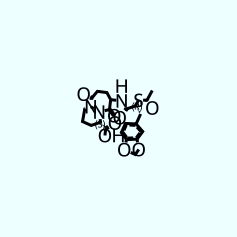 CC(=O)S[C@H](Cc1ccc2c(c1)OCO2)C(=O)NC1CCC(=O)N2CCC[C@@H](C(=O)O)N2C1=O